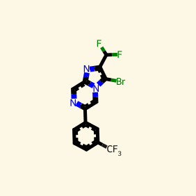 FC(F)c1nc2cnc(-c3cccc(C(F)(F)F)c3)cn2c1Br